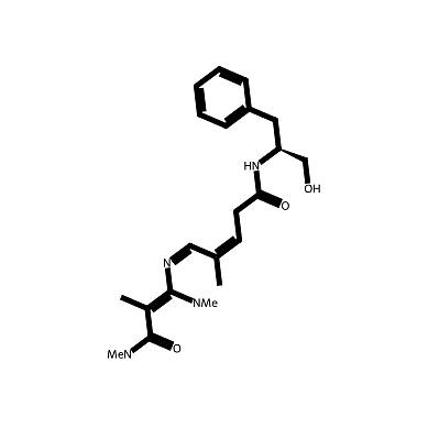 CNC(=O)/C(C)=C(/N=C\C(C)=C/CC(=O)N[C@H](CO)Cc1ccccc1)NC